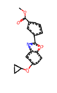 COC(=O)c1cccc(-c2nc3cc(OC4CC4)ccc3o2)c1